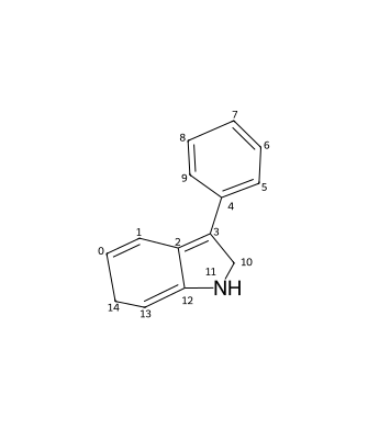 C1=CC2=C(c3ccccc3)CNC2=CC1